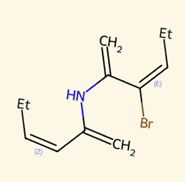 C=C(/C=C\CC)NC(=C)/C(Br)=C\CC